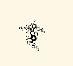 COC(=O)c1ccc(Cl)c(Cc2cc3c(C)cc(I)nc3n2C(=O)OC)c1Cl